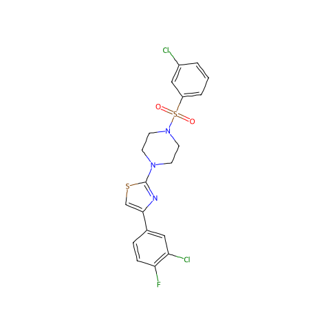 O=S(=O)(c1cccc(Cl)c1)N1CCN(c2nc(-c3ccc(F)c(Cl)c3)cs2)CC1